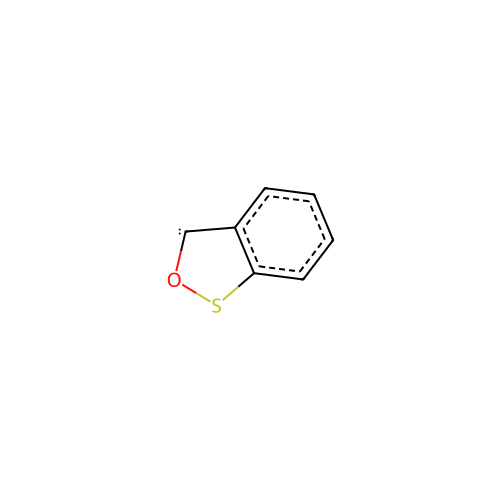 [C]1OSc2ccccc21